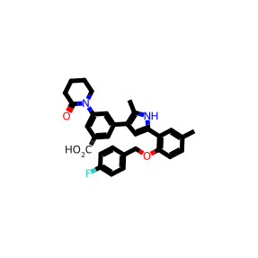 Cc1ccc(OCc2ccc(F)cc2)c(-c2cc(-c3cc(C(=O)O)cc(N4CCCCC4=O)c3)c(C)[nH]2)c1